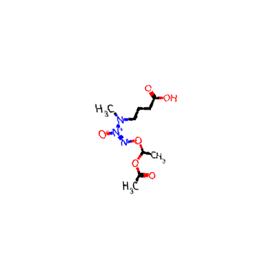 CC(=O)OC(C)O/N=[N+](/[O-])N(C)CCCC(=O)O